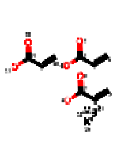 C=CC(=O)[O-].C=CC(=O)[O-].C=CC(=O)[O-].[K+].[Mg+2]